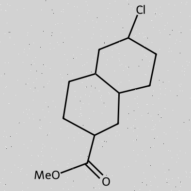 COC(=O)C1CCC2CC(Cl)CCC2C1